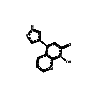 O=c1cc(-c2cn[nH]c2)c2cccnc2n1O